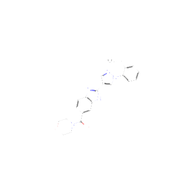 COc1ccccc1-n1cc(-c2nc3ccc(C(=O)N4CCOCC4)cc3[nH]2)cn1